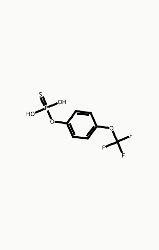 OP(O)(=S)Oc1ccc(OC(F)(F)F)cc1